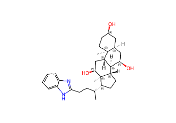 CC(CCc1nc2ccccc2[nH]1)[C@H]1CC[C@H]2[C@@H]3[C@H](O)C[C@@H]4C[C@H](O)CC[C@]4(C)[C@H]3C[C@H](O)[C@]12C